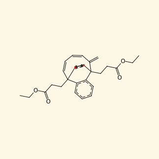 C=C1/C=C\C=C/C2(CCC(=O)OCC)c3ccccc3C1(CCC(=O)OCC)c1ccccc12